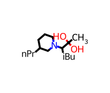 CCCC1CCCN(C(C(C)CC)C(C)(O)O)C1